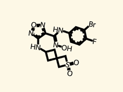 O=S1(=O)CC2(CC(Nc3nonc3C(=NO)Nc3ccc(F)c(Br)c3)C2)C1